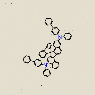 c1ccc(-c2ccc(N(c3ccccc3)c3ccc4c5c(ccc4c3)-c3c(cc(N(c4ccccc4)c4ccc(-c6ccccc6)cc4)c4ccccc34)C53c4ccccc4-c4ccccc43)cc2)cc1